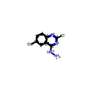 [C-]#[N+]c1ccc2nc(Cl)nc(NN)c2c1